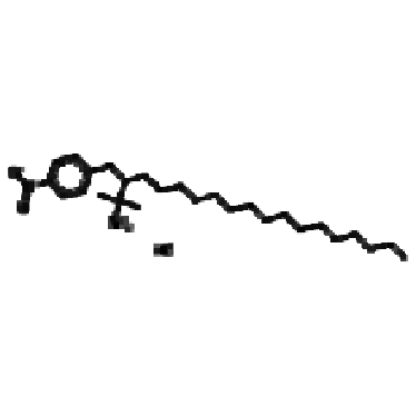 CCCCCCCCCCCCCCCCC(Cc1ccc([N+](=O)[O-])cc1)C(C)(C)N.Cl